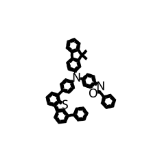 CC1(C)c2ccccc2-c2ccc(N(c3ccc(-c4cccc5c4sc4c(-c6ccccc6)cccc45)cc3)c3ccc4nc(-c5ccccc5)oc4c3)cc21